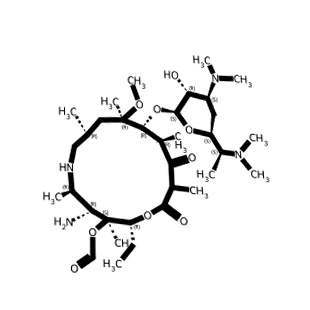 CC[C@H]1OC(=O)C(C)C(=O)[C@H](C)[C@@H](O[C@@H]2O[C@H]([C@H](C)N(C)C)C[C@H](N(C)C)[C@H]2O)[C@](C)(OC)C[C@@H](C)CN[C@H](C)[C@@H](N)[C@]1(C)OC=O